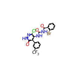 O=C(NC(=O)c1ccccc1Br)Nc1c(Cl)n[nH]c(=O)c1-c1cccc(C(F)(F)F)c1